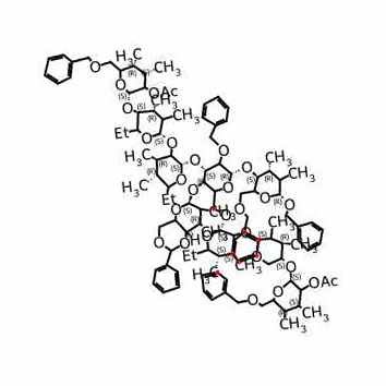 CCC1O[C@H](OCC2O[C@@H](O[C@@H]3C(COCc4ccccc4)O[C@@H](OCc4ccccc4)C(C)[C@H]3C)C(OCc3ccccc3)[C@@H](O[C@@H]3OC(CC)[C@H](C)[C@@H](C)C3O[C@@H]3OC(CC)[C@@H](O[C@@H]4OC(COCc5ccccc5)[C@H](C)[C@H](C)C4OC(C)=O)[C@H](C)C3C)[C@@H]2O[C@@H]2OC3COC(c4ccccc4)O[C@H]3[C@H](C)C2C)C(O[C@@H]2OC[C@@H](O[C@@H]3OC(COCc4ccccc4)[C@H](C)[C@H](C)C3OC(C)=O)[C@H](C)C2C)[C@@H](C)[C@@H]1C